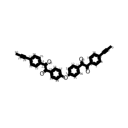 CC#Cc1ccc(C(=O)C(=O)c2ccc(Oc3ccc(C(=O)C(=O)c4ccc(C#CC)cc4)cc3)cc2)cc1